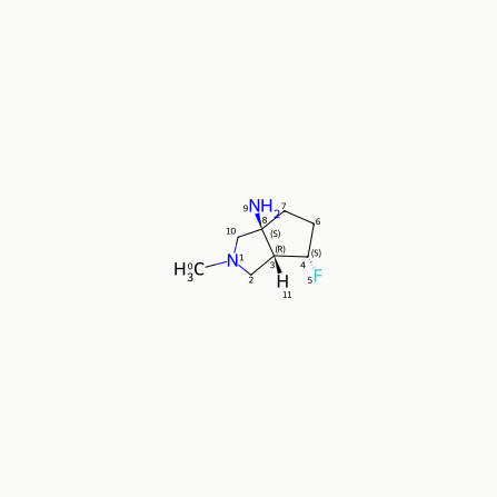 CN1C[C@H]2[C@@H](F)CC[C@@]2(N)C1